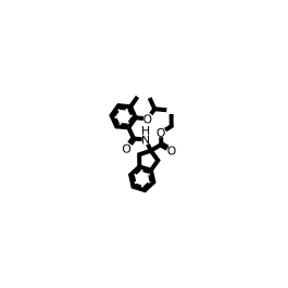 CCOC(=O)C1(NC(=O)c2cccc(C)c2OC(C)C)Cc2ccccc2C1